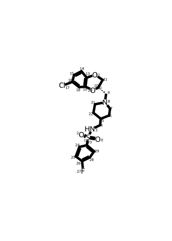 O=S(=O)(NCC1CCN(C[C@H]2COc3ccc(Cl)cc3O2)CC1)c1ccc(F)cc1